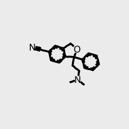 CN(C)CCC1(c2ccccc2)OCc2cc(C#N)ccc21